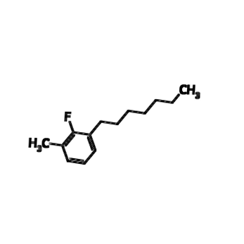 CCCCCCCc1cccc(C)c1F